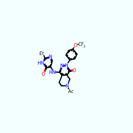 CCc1ncc(Nc2nn(-c3ccc(OC(F)(F)F)cc3)c(=O)c3c2CCN(C(C)=O)C3)c(=O)[nH]1